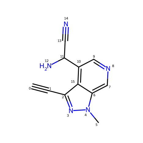 C#Cc1nn(C)c2cncc(C(N)C#N)c12